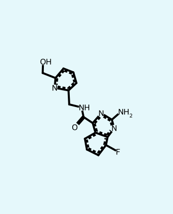 Nc1nc(C(=O)NCc2cccc(CO)n2)c2cccc(F)c2n1